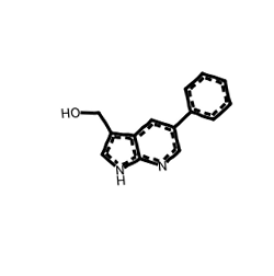 OCc1c[nH]c2ncc(-c3ccccc3)cc12